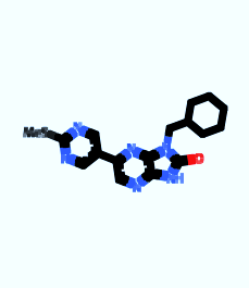 CSc1ncc(-c2cnc3[nH]c(=O)n(CC4CCCCC4)c3n2)cn1